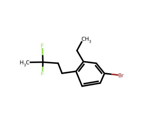 CCc1cc(Br)ccc1CCC(C)(F)F